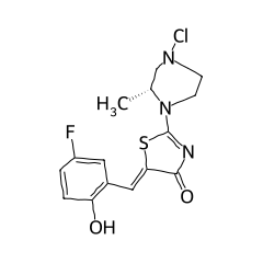 C[C@@H]1CN(Cl)CCN1C1=NC(=O)/C(=C/c2cc(F)ccc2O)S1